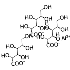 O=C([O-])[C@@H](O)[C@H](O)[C@@H](O)[C@H](O)CO.O=C([O-])[C@@H](O)[C@H](O)[C@@H](O)[C@H](O)CO.O=C([O-])[C@@H](O)[C@H](O)[C@@H](O)[C@H](O)CO.[Al+3]